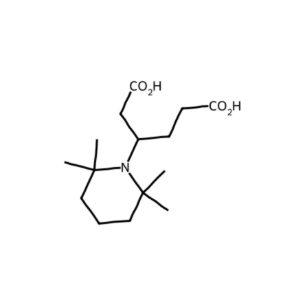 CC1(C)CCCC(C)(C)N1C(CCC(=O)O)CC(=O)O